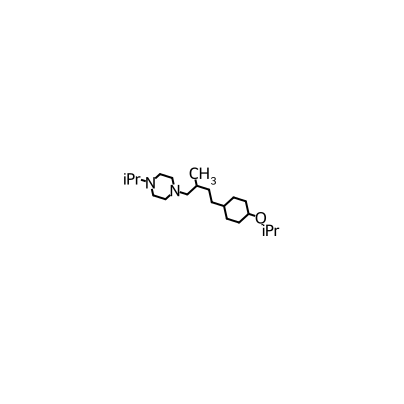 CC(CCC1CCC(OC(C)C)CC1)CN1CCN(C(C)C)CC1